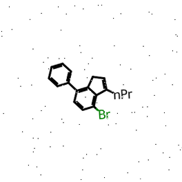 CCCC1=CCc2c(-c3ccccc3)ccc(Br)c21